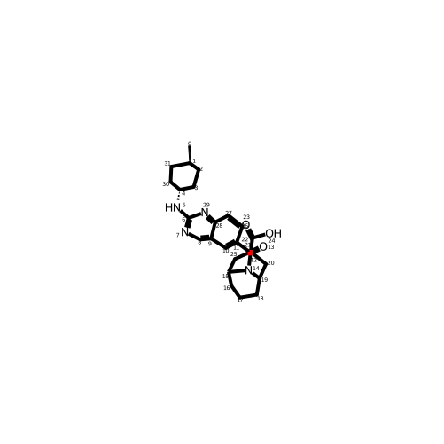 C[C@H]1CC[C@H](Nc2ncc3cc(C(=O)N4C5CCCC4CC(C(=O)O)C5)ccc3n2)CC1